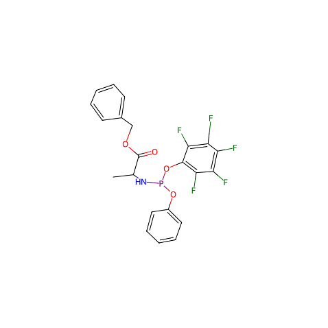 CC(NP(Oc1ccccc1)Oc1c(F)c(F)c(F)c(F)c1F)C(=O)OCc1ccccc1